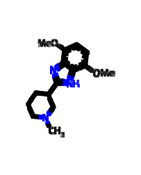 COc1ccc(OC)c2[nH]c(C3CCCN(C)C3)nc12